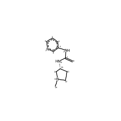 C=C(Nc1cccnc1)N[C@@H]1CCN(C)C1